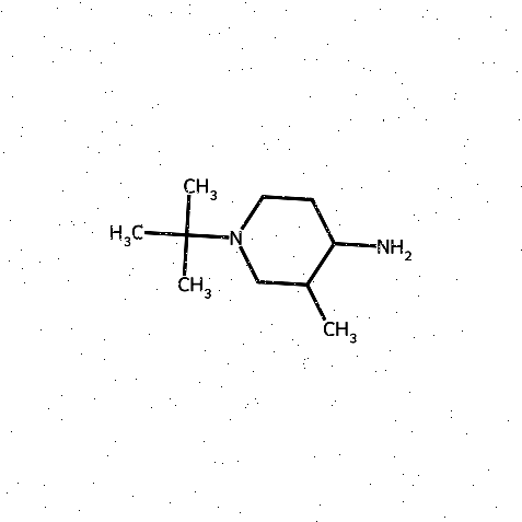 CC1CN(C(C)(C)C)CCC1N